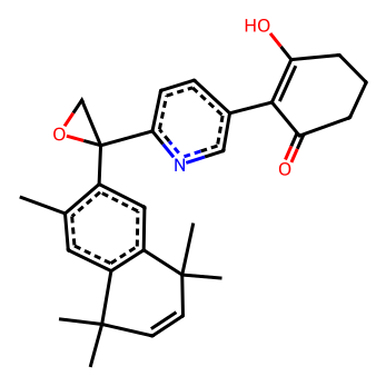 Cc1cc2c(cc1C1(c3ccc(C4=C(O)CCCC4=O)cn3)CO1)C(C)(C)C=CC2(C)C